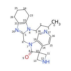 CCCCn1c(CN2C(=O)C3(CNC3)c3ccncc32)nc2c1CCCC2